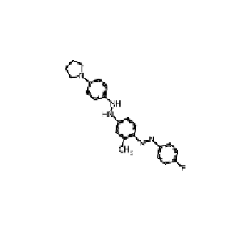 Cc1cc(NNc2ccc(N3CCCC3)cc2)ccc1/N=N/c1ccc(F)cc1